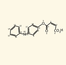 O=C(O)/C=C\C(=O)Oc1ccc(Nc2ccccc2)cc1